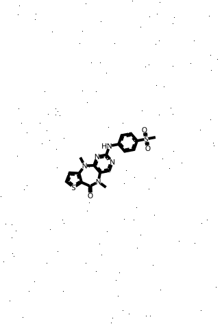 CN1C(=O)c2sccc2N(C)c2nc(Nc3ccc(S(C)(=O)=O)cc3)ncc21